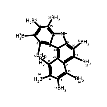 Bc1c(B)c(B)c2c([nH]c3c(B)c(B)c4c(B)c(B)c(B)c(B)c4c32)c1B